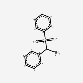 NC(c1ccccc1)S(=O)(=O)c1ccccc1